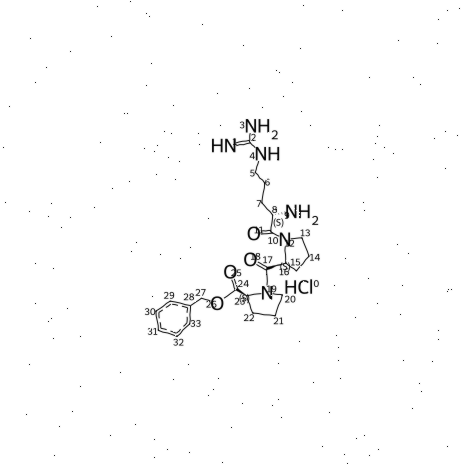 Cl.N=C(N)NCCC[C@H](N)C(=O)N1CCC[C@H]1C(=O)N1CCC[C@H]1C(=O)OCc1ccccc1